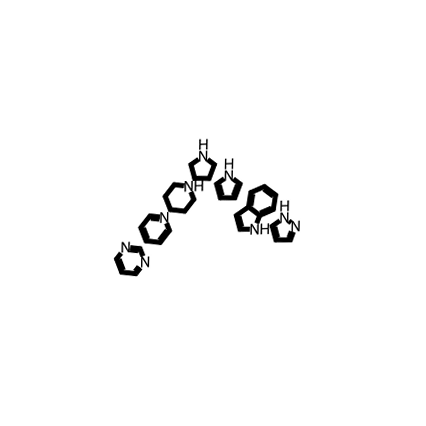 C1CCNC1.C1CCNCC1.c1cc[nH]c1.c1ccc2[nH]ccc2c1.c1ccncc1.c1cn[nH]c1.c1cncnc1